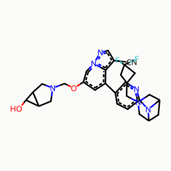 N#Cc1cnn2cc(OCN3CC4C(O)C4C3)cc(-c3ccc(N4C5CC4CN(CC4CC(F)(F)C4)C5)nc3)c12